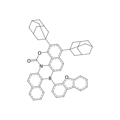 O=C1Oc2c(C34CC5CC(CC(C5)C3)C4)cc(C34CC5CC(CC(C5)C3)C4)c3ccc4c(c23)N1c1ccc2ccccc2c1B4c1cccc2c1oc1ccccc12